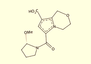 CO[C@H]1CCCN1C(=O)c1cc(C(=O)O)c2n1CCOC2